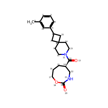 Cc1cccc(C2CC3(CCN(C(=O)[C@@H]4CCCOC(=O)NC4)CC3)C2)c1